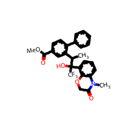 COC(=O)c1ccc(-c2ccccc2)c(C(C)C(O)(c2cccc3c2OCC(=O)N3C)C(F)(F)F)c1